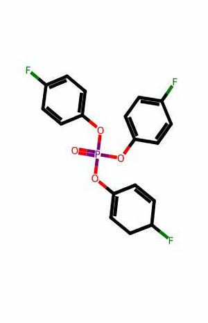 O=P(OC1=CCC(F)C=C1)(Oc1ccc(F)cc1)Oc1ccc(F)cc1